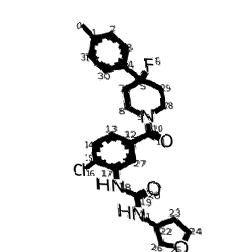 Cc1ccc(C2(F)CCN(C(=O)c3ccc(Cl)c(NC(=O)NC4CCOC4)c3)CC2)cc1